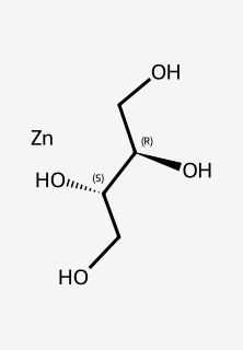 OC[C@@H](O)[C@@H](O)CO.[Zn]